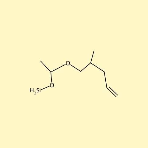 C=CCC(C)COC(C)O[SiH3]